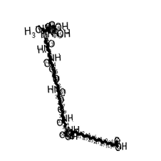 CN[C@@H](CSCC(=O)NCCNC(=O)COCCOCCNC(=O)COCCOCCNC(=O)CC[C@H](NC(=O)CCCCCCCCCCCCCCC(=O)O)C(=O)O)C(=O)N[C@@H](CO)C(=O)O